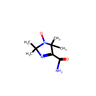 CC1(C)N=C(C(N)=O)C(C)(C)N1[O]